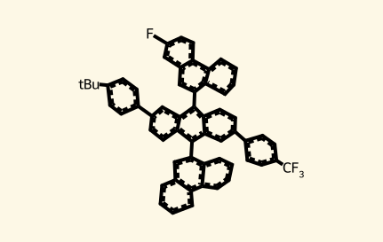 CC(C)(C)c1ccc(-c2ccc3c(-c4cc5ccccc5c5ccccc45)c4cc(-c5ccc(C(F)(F)F)cc5)ccc4c(-c4cc5cc(F)ccc5c5ccccc45)c3c2)cc1